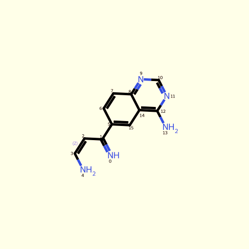 N=C(/C=C\N)c1ccc2ncnc(N)c2c1